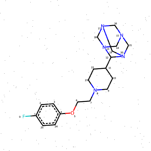 Fc1ccc(OCCN2CCC(C3N4CN5CN(C4)CN3C5)CC2)cc1